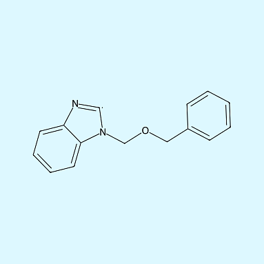 [c]1nc2ccccc2n1COCc1ccccc1